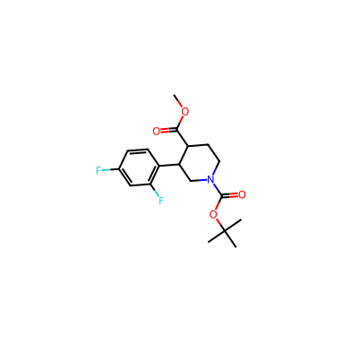 COC(=O)C1CCN(C(=O)OC(C)(C)C)CC1c1ccc(F)cc1F